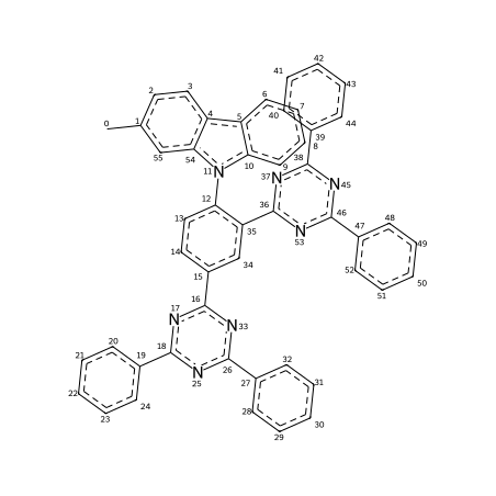 Cc1ccc2c3ccccc3n(-c3ccc(-c4nc(-c5ccccc5)nc(-c5ccccc5)n4)cc3-c3nc(-c4ccccc4)nc(-c4ccccc4)n3)c2c1